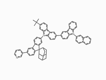 CC(C)(C)c1ccc2c3cc(-c4ccc5c(c4)c4ccccc4n5-c4ccc5ccccc5c4)ccc3n(-c3ccc4c(c3)C3(c5ccc(-c6cccnc6)cc5-4)C4CC5CC(C4)CC3C5)c2c1